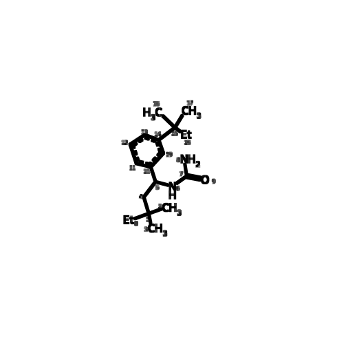 CCC(C)(C)CC(NC(N)=O)c1cccc(C(C)(C)CC)c1